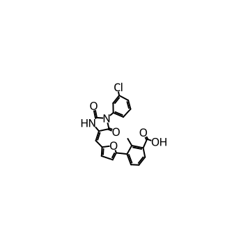 Cc1c(C(=O)O)cccc1-c1ccc(C=C2NC(=O)N(c3cccc(Cl)c3)C2=O)o1